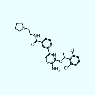 CC(Oc1nc(-c2cccc(C(=O)NCCN3CCCC3)c2)cnc1N)c1c(Cl)cccc1Cl